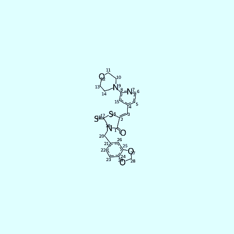 O=C1C(=Cc2ccnc(N3CCOCC3)c2)SC(=S)N1Cc1ccc2c(c1)OCO2